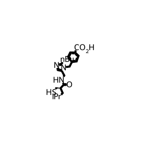 CCCCc1ncc(CNC(=O)[C@H](CS)CC(C)C)n1Cc1ccc(C(=O)O)cc1